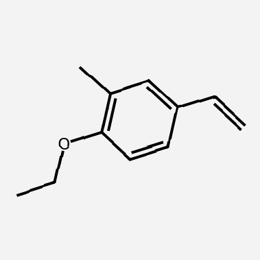 C=Cc1ccc(OCC)c(C)c1